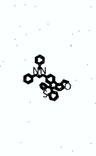 c1ccc(-c2cc(-c3ccc4c(c3)C3(c5ccccc5Sc5ccccc53)c3ccc5occc5c3-4)nc(-c3ccccc3)n2)cc1